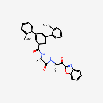 CC[C@H](NC(=O)[C@H](C)NC(=O)c1cc(-c2ccccc2OC)cc(-c2ccccc2OC)c1)C(=O)c1nc2ccccc2o1